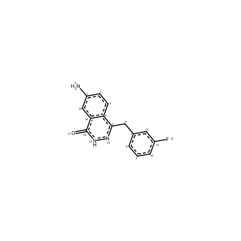 Nc1ccc2c(Cc3cccc(F)c3)n[nH]c(=O)c2c1